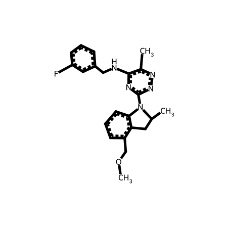 COCc1cccc2c1CC(C)N2c1nnc(C)c(NCc2cccc(F)c2)n1